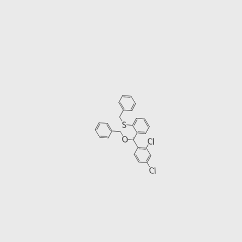 Clc1ccc([C](OCc2ccccc2)c2ccccc2SCc2ccccc2)c(Cl)c1